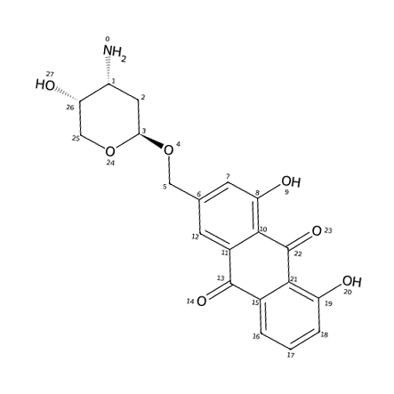 N[C@@H]1C[C@@H](OCc2cc(O)c3c(c2)C(=O)c2cccc(O)c2C3=O)OC[C@@H]1O